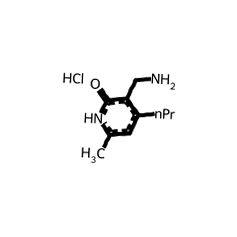 CCCc1cc(C)[nH]c(=O)c1CN.Cl